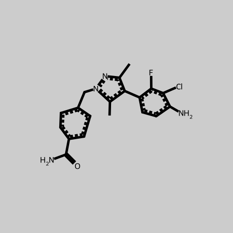 Cc1nn(Cc2ccc(C(N)=O)cc2)c(C)c1-c1ccc(N)c(Cl)c1F